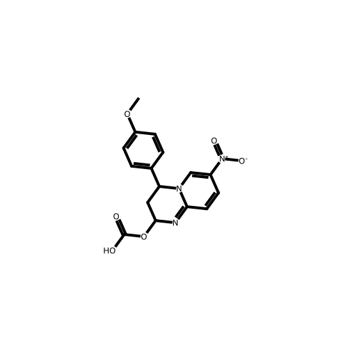 COc1ccc(C2CC(OC(=O)O)N=C3C=CC([N+](=O)[O-])=CN32)cc1